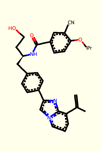 C=C(C)c1cccn2cc(-c3ccc(C[C@@H](CCO)NC(=O)c4ccc(OC(C)C)c(C#N)c4)cc3)nc12